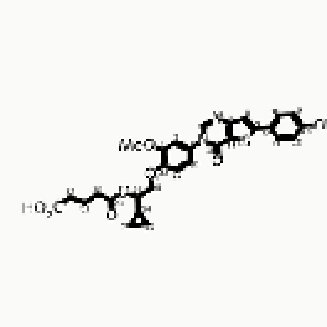 COc1cc(-n2cnc3cc(-c4ccc(Cl)cc4)sc3c2=O)ccc1OCC(OC(=O)CCCC(=O)O)C1CC1